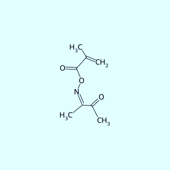 C=C(C)C(=O)ON=C(C)C(C)=O